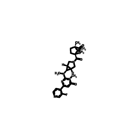 CN(c1nc(-c2ccncc2F)cc(=O)n1C)[C@H]1[C@@H]2CN(C(=O)[C@]34CC[C@@](C)(C(=O)O3)C4(C)C)C[C@@H]21